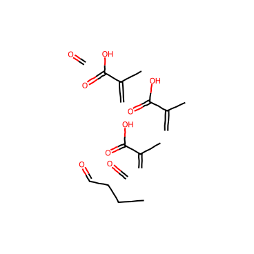 C=C(C)C(=O)O.C=C(C)C(=O)O.C=C(C)C(=O)O.C=O.C=O.CCCC=O